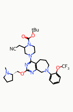 CN1CCC[C@H]1COc1nc2c(c(N3CCN(C(=O)OC(C)(C)C)C(CC#N)C3)n1)CCCN(c1ccccc1OC(F)(F)F)C2